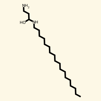 CCCCCCCCCCCCCCCCCCNC(O)CCN